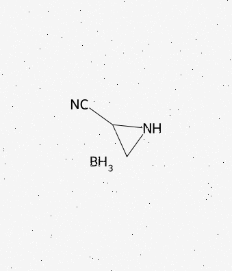 B.N#CC1CN1